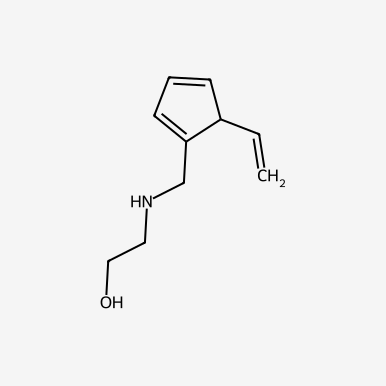 C=CC1C=CC=C1CNCCO